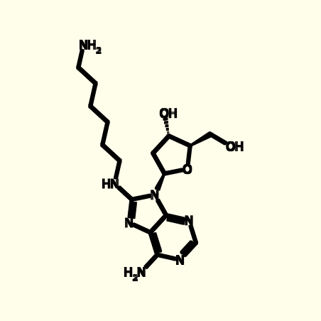 NCCCCCCNc1nc2c(N)ncnc2n1[C@H]1C[C@H](O)[C@@H](CO)O1